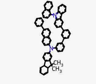 CC1(C)c2cc(N(c3cccc(-c4cccc(-c5ccc6c(c5)c5ccccc5n6-c5cccc6ccccc56)c4)c3)c3ccc4cc(-c5ccccc5)ccc4c3)ccc2C2C=CC=CC21